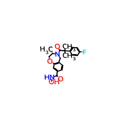 C[C@H]1COc2cc(C(=O)NO)ccc2CN1C(=O)C(C)(C)c1ccc(F)cc1